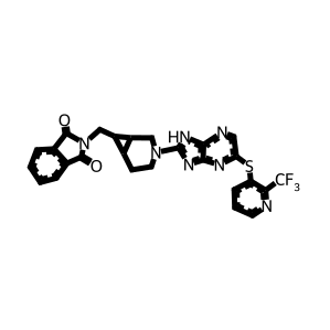 O=C1c2ccccc2C(=O)N1CC1C2CCN(c3nc4nc(Sc5cccnc5C(F)(F)F)cnc4[nH]3)CC21